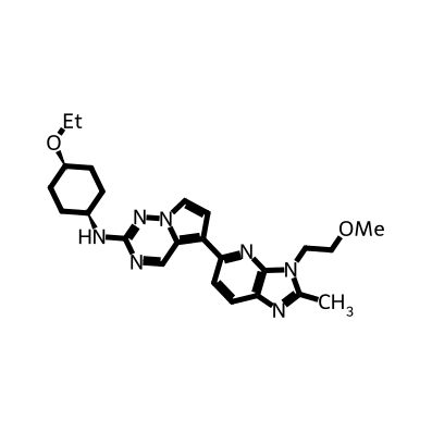 CCO[C@H]1CC[C@@H](Nc2ncc3c(-c4ccc5nc(C)n(CCOC)c5n4)ccn3n2)CC1